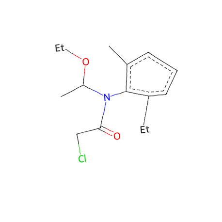 CCOC(C)N(C(=O)CCl)c1c(C)cccc1CC